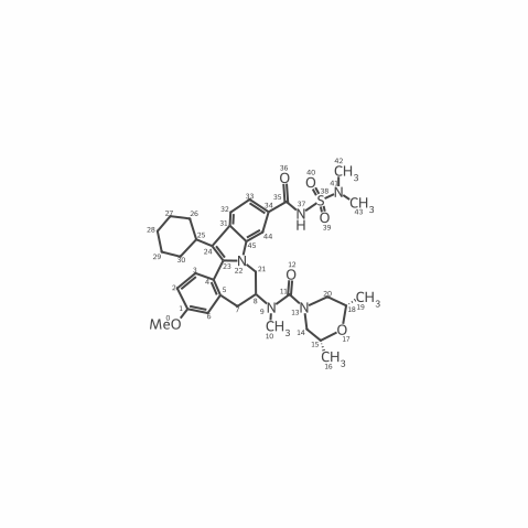 COc1ccc2c(c1)CC(N(C)C(=O)N1C[C@@H](C)O[C@@H](C)C1)Cn1c-2c(C2CCCCC2)c2ccc(C(=O)NS(=O)(=O)N(C)C)cc21